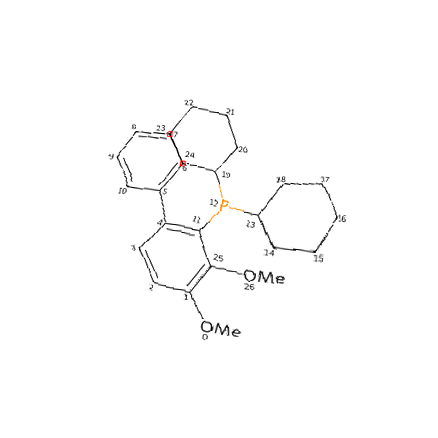 COc1ccc(-c2ccccc2)c(P(C2CCCCC2)C2CCCCC2)c1OC